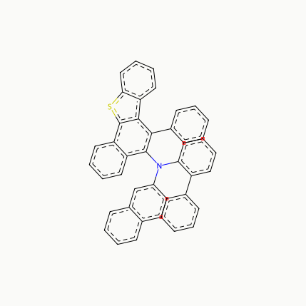 c1ccc(-c2ccccc2N(c2ccc3ccccc3c2)c2c(-c3ccccc3)c3c4ccccc4sc3c3ccccc23)cc1